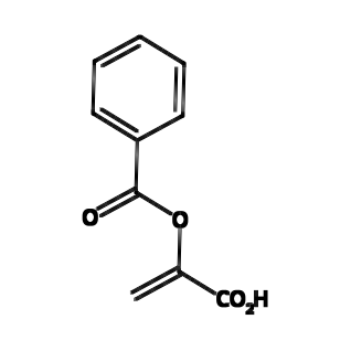 C=C(OC(=O)c1ccccc1)C(=O)O